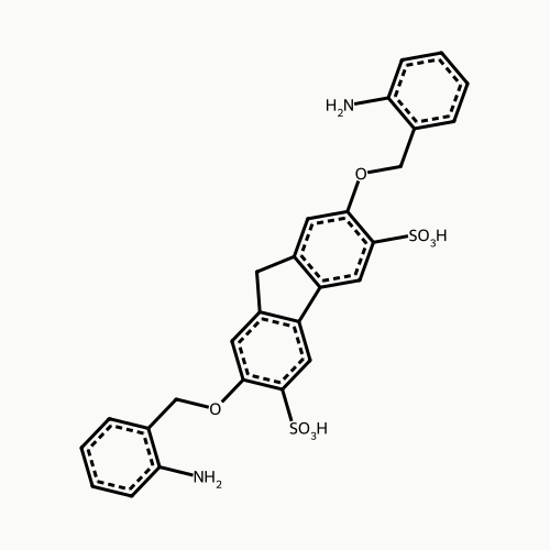 Nc1ccccc1COc1cc2c(cc1S(=O)(=O)O)-c1cc(S(=O)(=O)O)c(OCc3ccccc3N)cc1C2